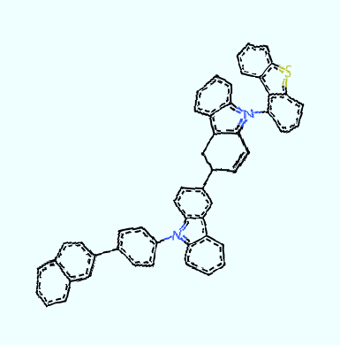 C1=CC(c2ccc3c(c2)c2ccccc2n3-c2ccc(-c3ccc4ccccc4c3)cc2)Cc2c1n(-c1cccc3sc4ccccc4c13)c1ccccc21